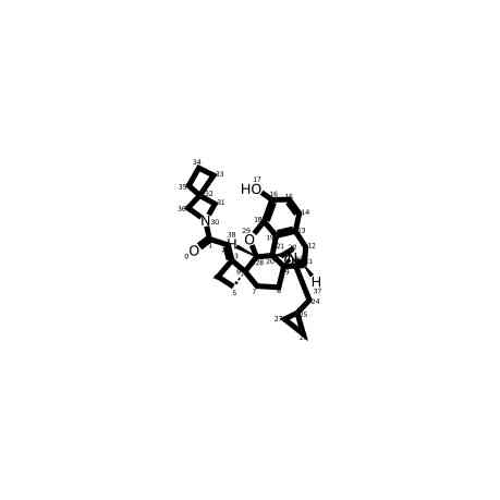 O=C(/C=C1\CC[C@]12CC[C@@]1(O)[C@H]3Cc4ccc(O)c5c4[C@@]1(CCN3CC1CC1)[C@H]2O5)N1CC2(CCC2)C1